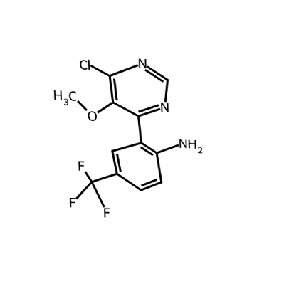 COc1c(Cl)ncnc1-c1cc(C(F)(F)F)ccc1N